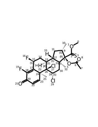 COC(=S)[C@@]1(OC(C)=O)[C@@H](C)C[C@H]2[C@@H]3C[C@H](F)C4=C(F)C(=O)C=C[C@]4(C)[C@@]3(Cl)[C@@H](Cl)C[C@@]21C